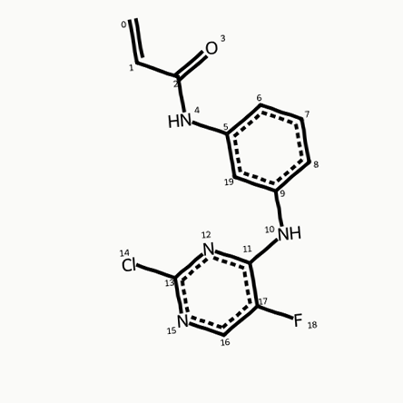 C=CC(=O)Nc1cccc(Nc2nc(Cl)ncc2F)c1